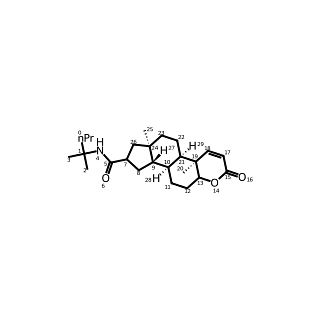 CCCC(C)(C)NC(=O)C1C[C@H]2[C@@H]3CCC4OC(=O)C=C[C@]4(C)[C@@H]3CC[C@]2(C)C1